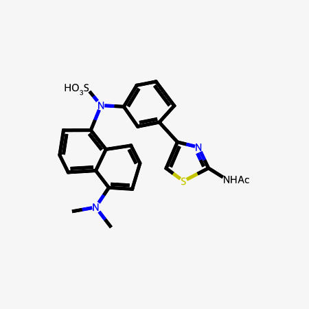 CC(=O)Nc1nc(-c2cccc(N(c3cccc4c(N(C)C)cccc34)S(=O)(=O)O)c2)cs1